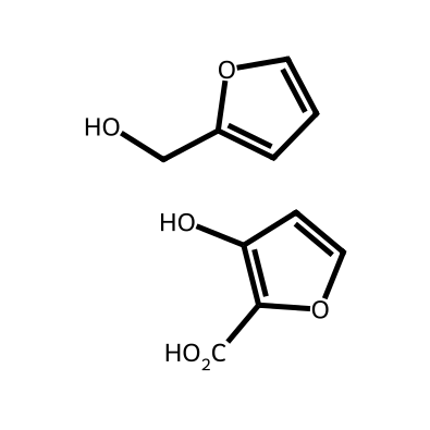 O=C(O)c1occc1O.OCc1ccco1